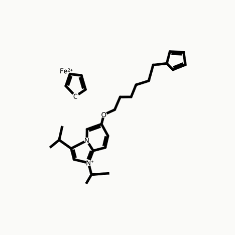 CC(C)c1c[n+](C(C)C)c2ccc(OCCCCCCC3C=CC=C3)cn12.[Fe+2].c1cc[cH-]c1